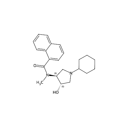 CN(C(=O)c1cccc2ccccc12)[C@H]1CN(C2CCCCC2)C[C@@H]1O